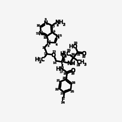 CC(Cn1cnc2c(N)ncnc21)OCP(=O)(NC(=O)c1ccc(F)cc1)NC(C)(C)C(=O)O